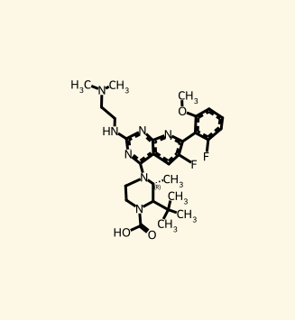 COc1cccc(F)c1-c1nc2nc(NCCN(C)C)nc(N3CCN(C(=O)O)C(C(C)(C)C)[C@H]3C)c2cc1F